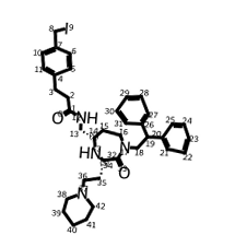 O=C(CCc1ccc(CI)cc1)NC[C@@H]1CCN(CC(c2ccccc2)c2ccccc2)C(=O)[C@H](CCN2CCCCC2)N1